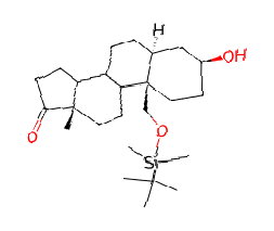 CC(C)(C)[Si](C)(C)OC[C@]12CC[C@H](O)C[C@@H]1CCC1C2CC[C@]2(C)C(=O)CCC12